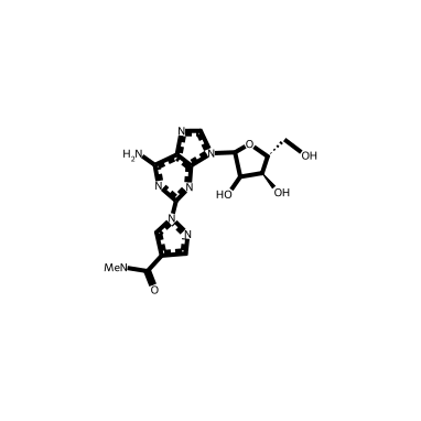 CNC(=O)c1cnn(-c2nc(N)c3ncn(C4O[C@H](CO)[C@@H](O)C4O)c3n2)c1